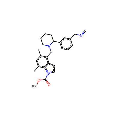 C=NCc1cccc(C2CCCCN2Cc2c(C)cc(C)c3c2ccn3C(=O)OC(C)(C)C)c1